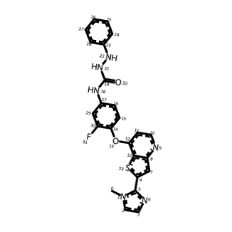 Cn1ccnc1-c1cc2nccc(Oc3ccc(NC(=O)NNc4ccccc4)cc3F)c2s1